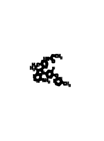 C=CC(=O)Nc1ccc(-c2c(C)c3ncnc(N)c3n2-c2ccc(Oc3nccc(C)n3)c(F)c2)c(C)c1